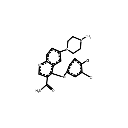 CN1CCN(c2ccc3ncc(C(N)=O)c(Nc4ccc(Cl)c(Cl)c4)c3c2)CC1